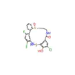 O=C1NCCC[S+]([O-])c2ccccc2-c2cc(c(F)cc2F)NSc2cc1cc(Cl)c2O